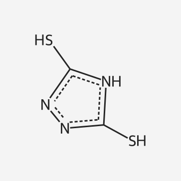 Sc1nnc(S)[nH]1